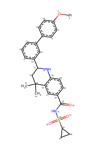 CC(C)Oc1ccc(-c2cccc(C3CC(C)(C)c4cc(C(=O)NS(=O)(=O)C5CC5)ccc4N3)c2)cc1